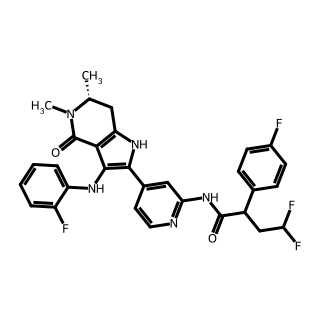 C[C@@H]1Cc2[nH]c(-c3ccnc(NC(=O)C(CC(F)F)c4ccc(F)cc4)c3)c(Nc3ccccc3F)c2C(=O)N1C